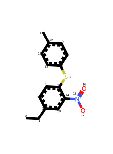 CCc1ccc(Sc2ccc(C)cc2)c([N+](=O)[O-])c1